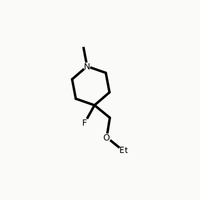 CCOCC1(F)CCN(C)CC1